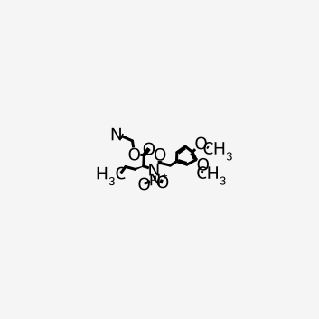 CCC[C@@H](C(=O)OCC#N)N(C(=O)Cc1ccc(OC)c(OC)c1)[N+](=O)[O-]